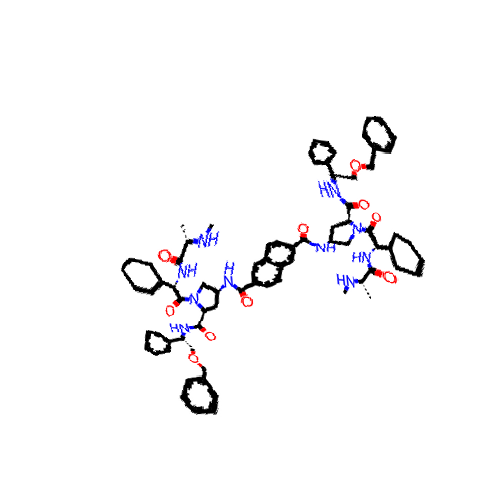 CN[C@@H](C)C(=O)N[C@H](C(=O)N1C[C@@H](NC(=O)c2ccc3cc(C(=O)N[C@H]4C[C@@H](C(=O)N[C@H](COCc5ccccc5)c5ccccc5)N(C(=O)[C@@H](NC(=O)[C@H](C)NC)C5CCCCC5)C4)ccc3c2)C[C@H]1C(=O)N[C@H](COCc1ccccc1)c1ccccc1)C1CCCCC1